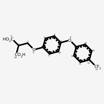 O=C(O)C(COc1ccc(Oc2ccc(C(F)(F)F)cc2)cc1)C(=O)O